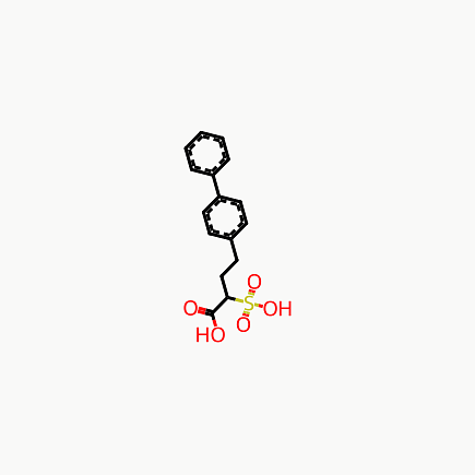 O=C(O)C(CCc1ccc(-c2ccccc2)cc1)S(=O)(=O)O